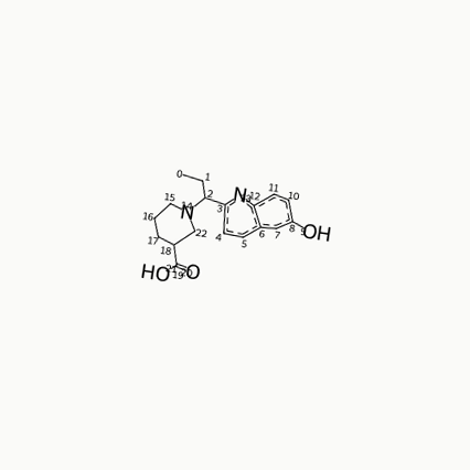 CCC(c1ccc2cc(O)ccc2n1)N1CCCC(C(=O)O)C1